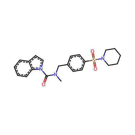 CN(Cc1ccc(S(=O)(=O)N2CCCCC2)cc1)C(=O)n1ccc2ccccc21